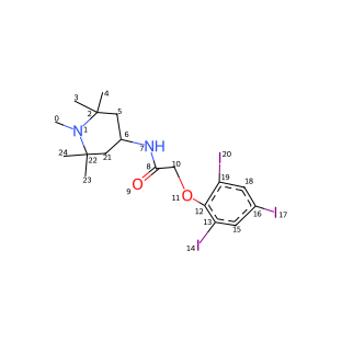 CN1C(C)(C)CC(NC(=O)COc2c(I)cc(I)cc2I)CC1(C)C